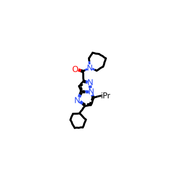 CC(C)c1cc(C2CCCCC2)nc2cc(C(=O)N3CCCCCC3)nn12